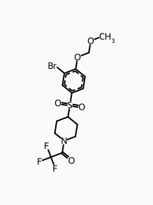 COCOc1ccc(S(=O)(=O)C2CCN(C(=O)C(F)(F)F)CC2)cc1Br